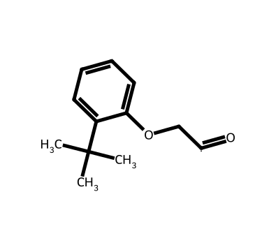 CC(C)(C)c1ccccc1OC[C]=O